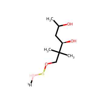 [3H]BSOCC(C)(C)[C@H](O)CC(C)O